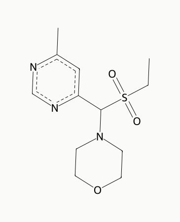 CCS(=O)(=O)C(c1cc(C)ncn1)N1CCOCC1